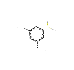 CCCSCCC.O.O=C(O)c1cccc(C(=O)O)c1.[KH]